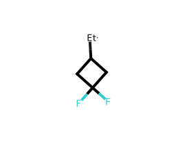 C[CH]C1CC(F)(F)C1